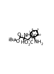 CCC(C)OC(=O)C(Cc1ccccc1N)(NC(C)=O)C(=O)O